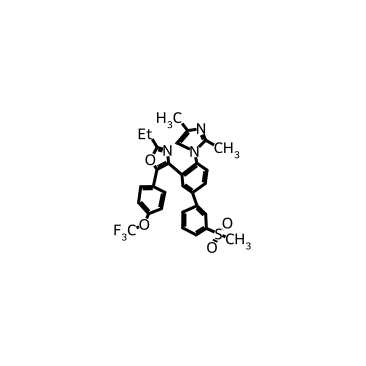 CCc1nc(-c2cc(-c3cccc(S(C)(=O)=O)c3)ccc2-n2cc(C)nc2C)c(-c2ccc(OC(F)(F)F)cc2)o1